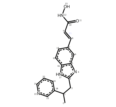 CC(Cc1nc2cc(/C=C/C(=O)NO)ccc2[nH]1)c1cccnc1